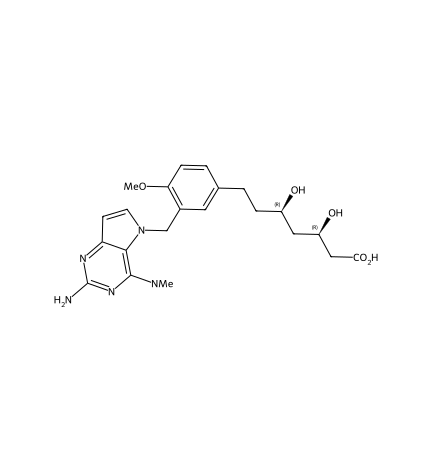 CNc1nc(N)nc2ccn(Cc3cc(CC[C@@H](O)C[C@@H](O)CC(=O)O)ccc3OC)c12